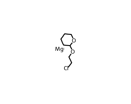 ClCCOC1CCCCO1.[Mg]